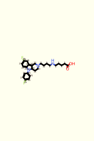 O=C(O)CCCCNCCCCN1CCC2C(=C3CC(F)=CC=C3N2c2ccc(F)cc2)C1